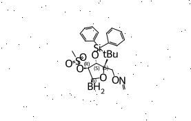 B[C@@H]1O[C@@](C)(CON=C)[C@@H](O[Si](c2ccccc2)(c2ccccc2)C(C)(C)C)[C@@H]1OS(C)(=O)=O